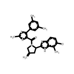 C=C1CC(c2nc3ccc(Cl)c(C)c3[nH]2)N(C(=O)c2nc(C)sc2-c2cc(C)cc(C)c2)C1